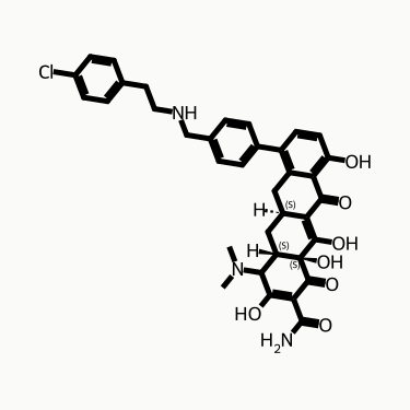 CN(C)C1C(O)=C(C(N)=O)C(=O)[C@@]2(O)C(O)=C3C(=O)c4c(O)ccc(-c5ccc(CNCCc6ccc(Cl)cc6)cc5)c4C[C@@H]3C[C@@H]12